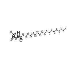 CCCCCCCCCCCCCCCCCCCC(=O)NCN(C)CC